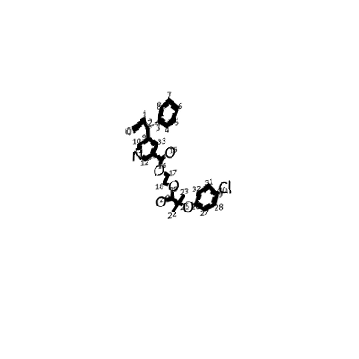 C=C[C@H](c1ccccc1)c1cncc(C(=O)OCCOC(=O)C(C)(C)Oc2ccc(Cl)cc2)c1